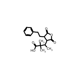 CC(C1C(=O)OC(=O)C1CCc1ccccc1)C(C)(C)C(=O)O